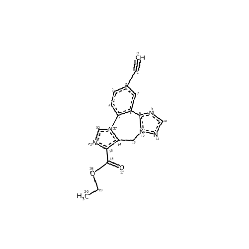 C#Cc1ccc2c(c1)-c1ncnn1Cc1c(C(=O)OCC)ncn1-2